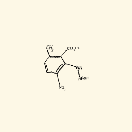 CCCCCNc1c([N+](=O)[O-])ccc(C)c1C(=O)OCC